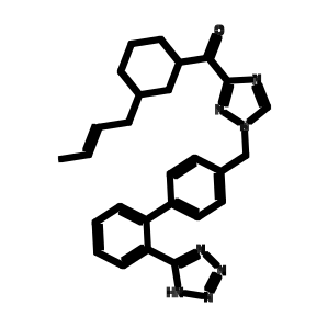 CC=CCC1CCCC(C(=O)c2ncn(Cc3ccc(-c4ccccc4-c4nnn[nH]4)cc3)n2)C1